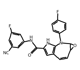 N#Cc1cc(F)cc(NC(=O)c2cc3c([nH]2)N(c2ccc(F)cc2)C2OC2C=C3)c1